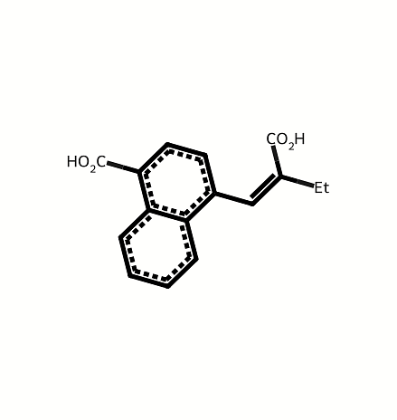 CCC(=Cc1ccc(C(=O)O)c2ccccc12)C(=O)O